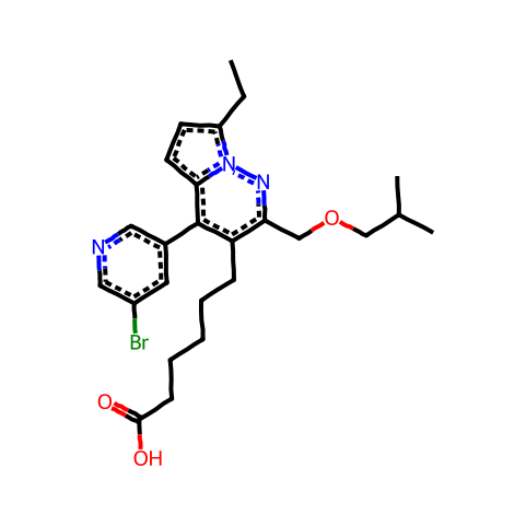 CCc1ccc2c(-c3cncc(Br)c3)c(CCCCCC(=O)O)c(COCC(C)C)nn12